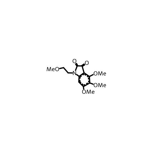 COCCN1C(=O)C(=O)c2c1cc(OC)c(OC)c2OC